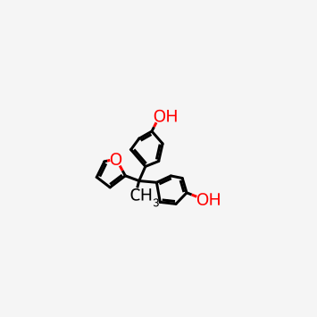 CC(c1ccc(O)cc1)(c1ccc(O)cc1)c1ccco1